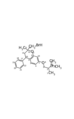 Br.CC(COc1ccc2c(c1)OC(C)(C)CC2c1ccccc1)N(C)C